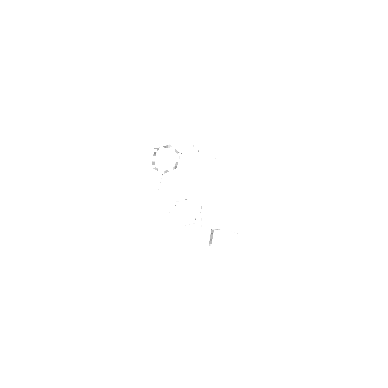 CC(c1cc([N+](=O)[O-])cc(C(F)(F)F)c1)N1CCN(C(=O)OC(C)(C)C)CC1